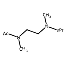 CCCN(C)CCN(C)C(C)=O